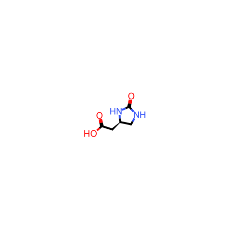 O=C(O)C[C@@H]1CNC(=O)N1